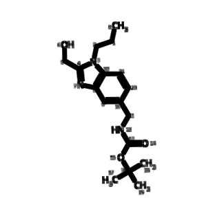 CCCn1c(CO)nc2cc(CNC(=O)OC(C)(C)C)ccc21